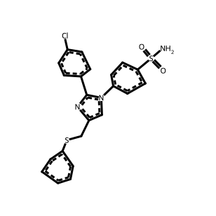 NS(=O)(=O)c1ccc(-n2cc(CSc3ccccc3)nc2-c2ccc(Cl)cc2)cc1